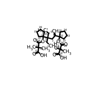 C=C(CC(CC)(CC)C1(OC(=O)C(C)(C)C(=O)O)CCCC1)C1(OC(=O)C(C)(C)C(=O)O)CCCC1